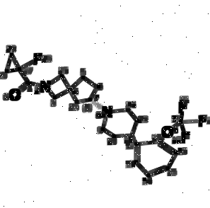 O=C(N1CC2(CC[C@H](N3CCC(c4ccccc4OC(F)(F)F)CC3)C2)C1)C1(F)CC1